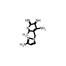 CC1=NC(=N)C(=N)C(N)=C1Cn1ccc(N)n1